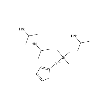 CC(C)[NH-].CC(C)[NH-].CC(C)[NH-].C[Si](C)(C)[V+3][C]1=CC=CC1